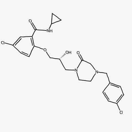 O=C(NC1CC1)c1cc(Cl)ccc1OC[C@H](O)CN1CCN(Cc2ccc(Cl)cc2)CC1=O